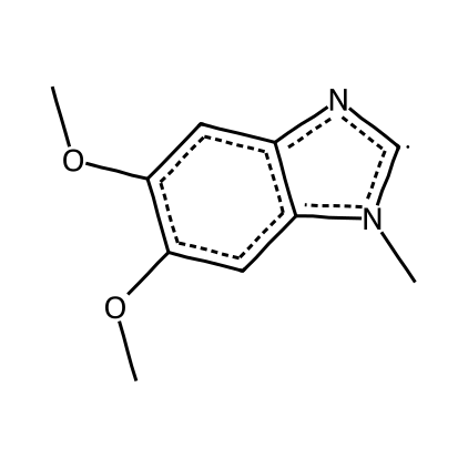 COc1cc2n[c]n(C)c2cc1OC